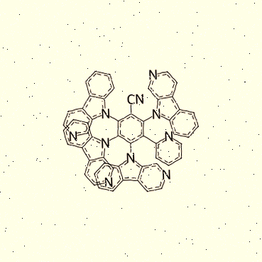 N#Cc1c(-n2c3ccccc3c3ccncc32)c(-c2ccccn2)c(-n2c3ccccc3c3ccncc32)c(-n2c3ccccc3c3ccncc32)c1-n1c2ccccc2c2ccncc21